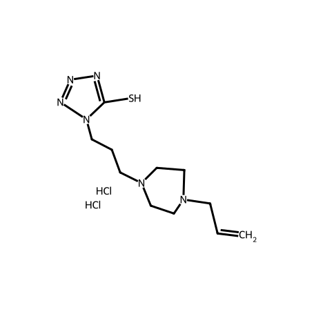 C=CCN1CCN(CCCn2nnnc2S)CC1.Cl.Cl